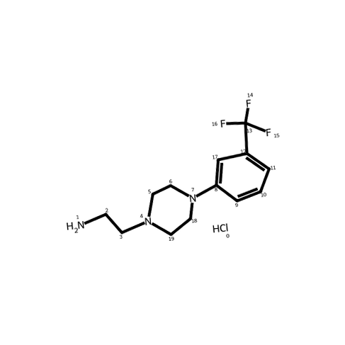 Cl.NCCN1CCN(c2cccc(C(F)(F)F)c2)CC1